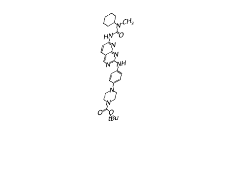 CN(C(=O)Nc1ccc2cnc(Nc3ccc(N4CCN(C(=O)OC(C)(C)C)CC4)cc3)nc2n1)C1CCCCC1